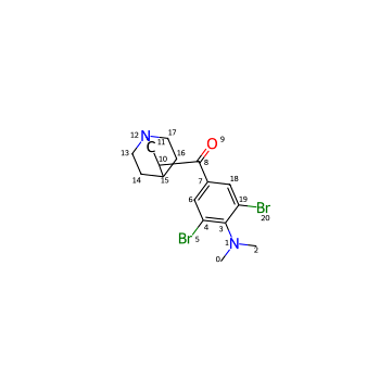 CN(C)c1c(Br)cc(C(=O)C2CN3CCC2CC3)cc1Br